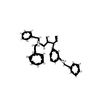 C=CC(c1cccc(OCc2ccccc2)c1)C(C)CN(Cc1ccccc1)Cc1ccccc1